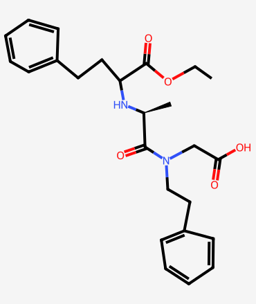 CCOC(=O)C(CCc1ccccc1)N[C@@H](C)C(=O)N(CCc1ccccc1)CC(=O)O